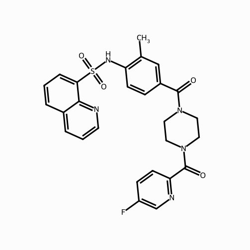 Cc1cc(C(=O)N2CCN(C(=O)c3ccc(F)cn3)CC2)ccc1NS(=O)(=O)c1cccc2cccnc12